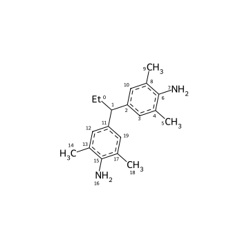 CCC(c1cc(C)c(N)c(C)c1)c1cc(C)c(N)c(C)c1